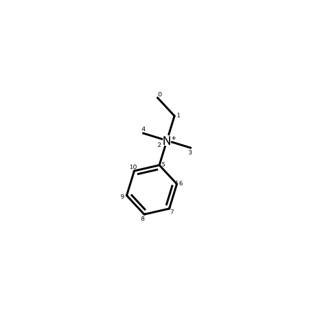 CC[N+](C)(C)c1[c]cccc1